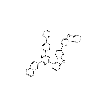 C1=C(c2ccccc2)CCC(c2nc(-c3ccc4ccccc4c3)nc(-c3cccc4oc5cc(-c6ccc7oc8ccccc8c7c6)ccc5c34)n2)=C1